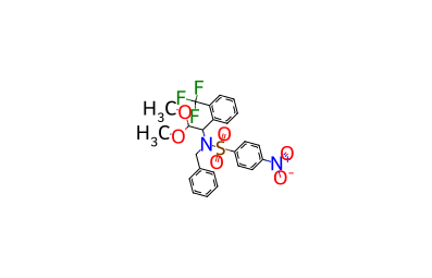 COC(OC)C(c1ccccc1C(F)(F)F)N(Cc1ccccc1)S(=O)(=O)c1ccc([N+](=O)[O-])cc1